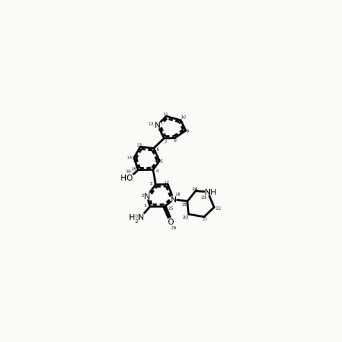 Nc1nc(-c2cc(-c3ccccn3)ccc2O)cn(C2CCCNC2)c1=O